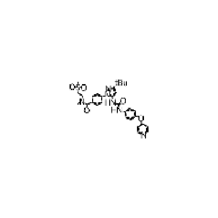 CN(CCS(C)(=O)=O)C(=O)c1ccc(-n2nc(C(C)(C)C)cc2NC(=O)Nc2ccc(Oc3ccncc3)cc2)cc1